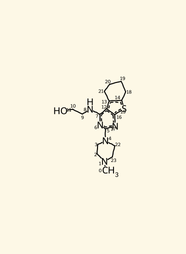 CN1CCN(c2nc(NCCO)c3c4c(sc3n2)CCCC4)CC1